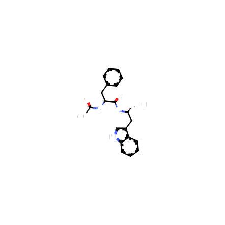 CCCC(=O)NC(Cc1ccccc1)C(=O)NC(Cc1c[nH]c2ccccc12)C(=O)O